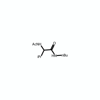 CCCCNC(=O)C(NC(C)=O)C(C)C